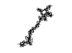 Cc1cc(C)c(NC(=O)CC[C@@H](NC(=O)OC(C)(C)C)C(=O)NCCOCCOCCOCCOCCOCCNC(=O)CCC(C(=O)OC(C)(C)C)N2CCN(CC(=O)OC(C)(C)C)CCN(CC(=O)OC(C)(C)C)CCN(CC(=O)OC(C)(C)C)CC2)c(C)c1Br